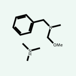 COCN(C)Cc1ccccc1.C[SiH](C)C